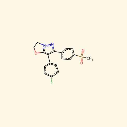 CS(=O)(=O)c1ccc(-c2nn3c(c2-c2ccc(F)cc2)OCC3)cc1